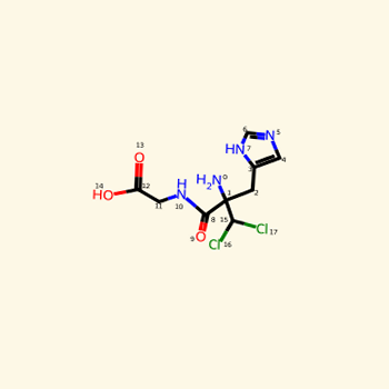 NC(Cc1cnc[nH]1)(C(=O)NCC(=O)O)C(Cl)Cl